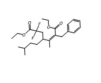 CCOC(=O)/C(Cc1ccccc1)=C(/C)C(CCC(C)C)CC(F)(F)C(=O)OCC